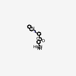 O=c1cc(-c2cccc(/C=C/c3ccc4ccccc4n3)c2)oc2ccc(-c3nnn[nH]3)cc12